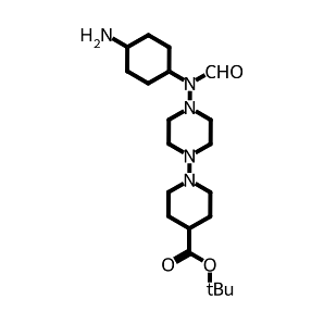 CC(C)(C)OC(=O)C1CCN(N2CCN(N(C=O)C3CCC(N)CC3)CC2)CC1